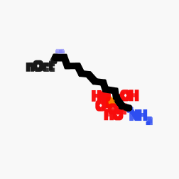 CCCCCCCC/C=C\CCCCCCCCC(O)(C(O)CN)P(=O)(O)O